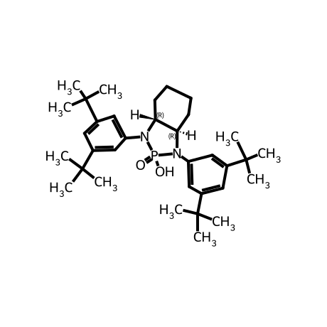 CC(C)(C)c1cc(N2[C@@H]3CCCC[C@H]3N(c3cc(C(C)(C)C)cc(C(C)(C)C)c3)P2(=O)O)cc(C(C)(C)C)c1